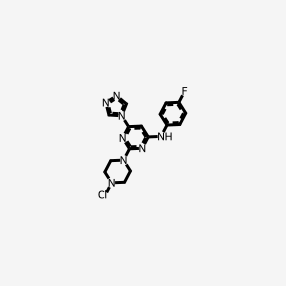 Fc1ccc(Nc2cc(-n3cnnc3)nc(N3CCN(Cl)CC3)n2)cc1